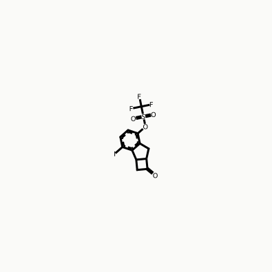 O=C1CC2c3c(I)ccc(OS(=O)(=O)C(F)(F)F)c3CC12